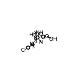 CC1NC(=O)c2c(nc(SCc3csc(-c4ccc(Cl)cc4)n3)c(C#N)c2-c2ccc(OCCO)cc2)N1